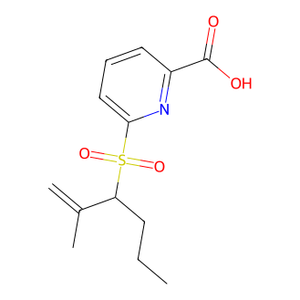 C=C(C)C(CCC)S(=O)(=O)c1cccc(C(=O)O)n1